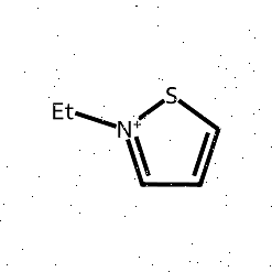 CC[n+]1cccs1